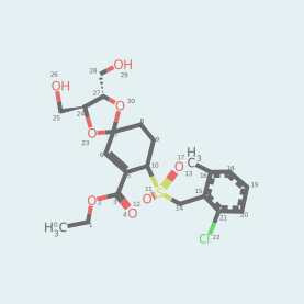 CCOC(=O)C1=CC2(CCC1S(=O)(=O)Cc1c(C)cccc1Cl)O[C@@H](CO)[C@H](CO)O2